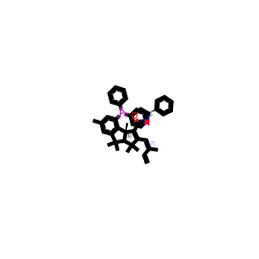 C=C/C(C)=C\C1=C(C2=N[C@@H](c3ccccc3)CO2)[C@@]2(C)c3c(P(c4ccccc4)c4ccccc4)cc(C)cc3C(C)(C)C2C1(C)C